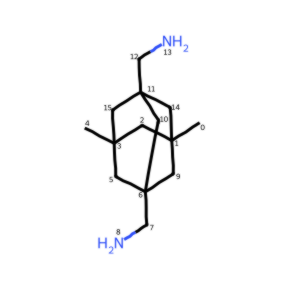 CC12CC3(C)CC(CN)(C1)CC(CN)(C2)C3